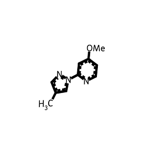 COc1ccnc(-n2cc(C)cn2)c1